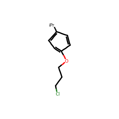 CC(C)c1ccc(OCCCCl)cc1